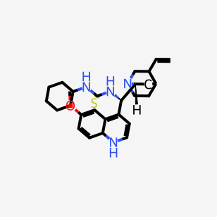 C=CC1CN2CCC1C[C@@H]2[C@H](NC(=S)NC1CCCCC1)C1=C2C=C(OC)C=CC2NC=C1